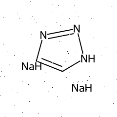 [NaH].[NaH].c1c[nH]nn1